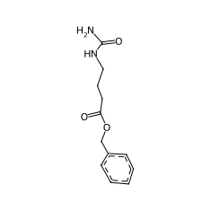 NC(=O)NCCCC(=O)OCc1ccccc1